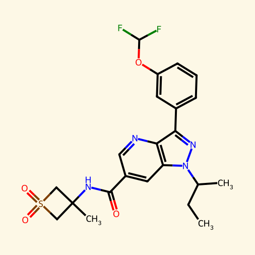 CCC(C)n1nc(-c2cccc(OC(F)F)c2)c2ncc(C(=O)NC3(C)CS(=O)(=O)C3)cc21